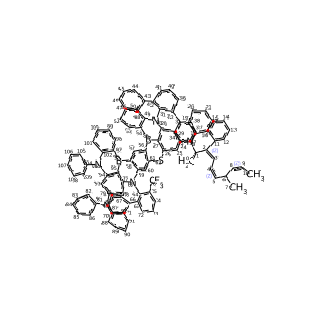 C=C(/C(=C\C=C/C(C)/C=C\C)c1ccccc1)N(c1ccccc1)c1cc2c3c(c1)N(c1c(-c4ccccc4)cccc1-c1ccccc1)c1ccccc1B3c1cc3c(cc1S2)N(c1c(-c2ccccc2)cccc1C(F)(F)F)c1cc(N(c2ccccc2)c2ccccc2)cc2c1B3c1ccccc1N2c1ccccc1